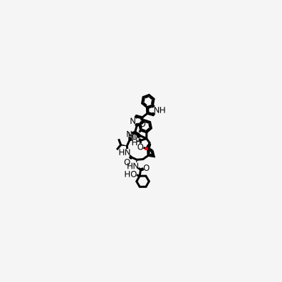 CC(C)[C@@H]1NC(=O)[C@@H](NC(=O)C2(O)CCCCC2)Cc2ccc3c(c2)C2(c4ccccc4N[C@H]2O3)c2oc1nc2-c1ncc(-c2c[nH]c3ccccc23)o1